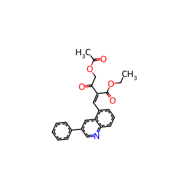 CCOC(=O)C(=Cc1cccc2ncc(-c3ccccc3)cc12)C(=O)COC(C)=O